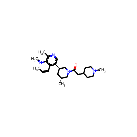 C=Nc1c(C)ncc([C@H]2C[C@@H](C)CN(C(=O)CC3CCN(C)CC3)C2)c1/C=C\C